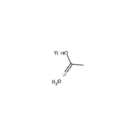 CC(=O)O.O.[Ti]